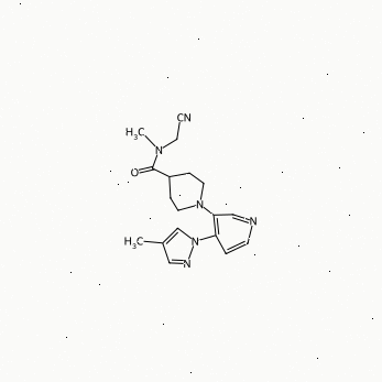 Cc1cnn(-c2ccncc2N2CCC(C(=O)N(C)CC#N)CC2)c1